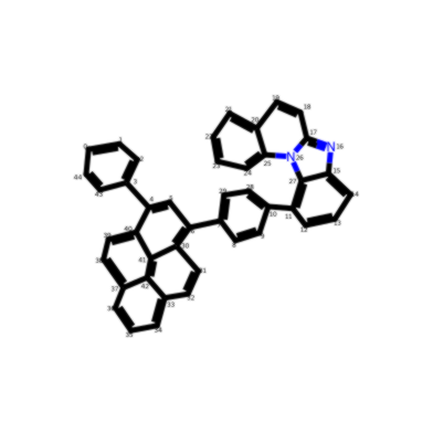 c1ccc(-c2cc(-c3ccc(-c4cccc5nc6ccc7ccccc7n6c45)cc3)c3ccc4cccc5ccc2c3c54)cc1